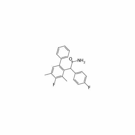 Cc1cc(-c2ccccc2)c(C(C(N)=O)c2ccc(F)cc2)c(C)c1F